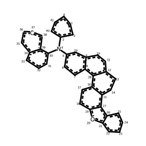 c1ccc(N(c2ccc3c(ccc4ccc5c(ccc6oc7ccccc7c65)c43)c2)c2cccc3ccccc23)cc1